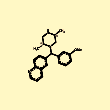 COc1cccc(C(c2ccc3ncccc3c2)N2C[C@H](C)NC[C@H]2C)c1